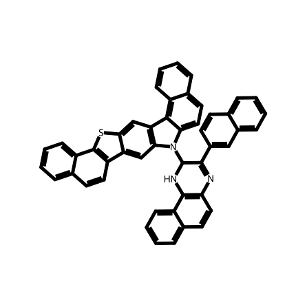 c1ccc2cc(C3=Nc4ccc5ccccc5c4NC3n3c4cc5c(cc4c4c6ccccc6ccc43)sc3c4ccccc4ccc53)ccc2c1